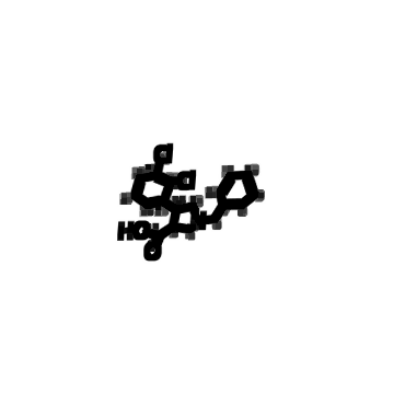 O=C(O)C1CN(Cc2ccccc2)CC1c1cccc(Cl)c1Cl